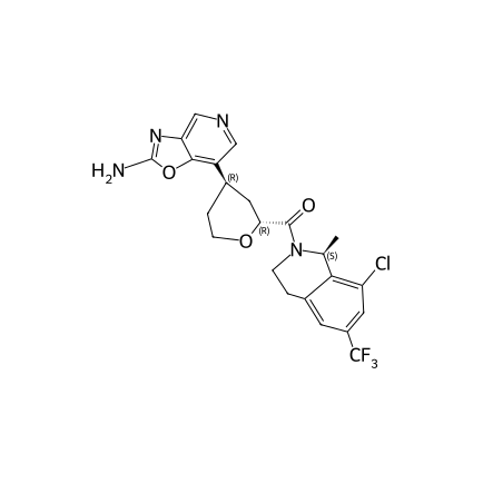 C[C@H]1c2c(Cl)cc(C(F)(F)F)cc2CCN1C(=O)[C@H]1C[C@H](c2cncc3nc(N)oc23)CCO1